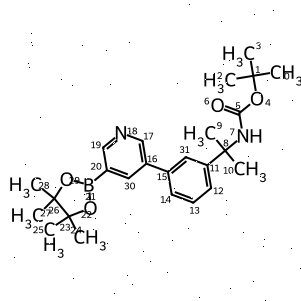 CC(C)(C)OC(=O)NC(C)(C)c1cccc(-c2cncc(B3OC(C)(C)C(C)(C)O3)c2)c1